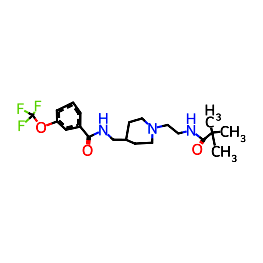 CC(C)(C)C(=O)NCCN1CCC(CNC(=O)c2cccc(OC(F)(F)F)c2)CC1